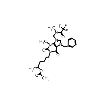 CC(=O)OC(C)CCCCn1c(=O)c2c(n(C)c1=O)N(CN(C)C(=O)C(F)(F)F)CN2Cc1ccccc1